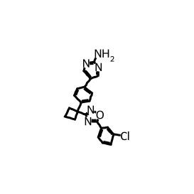 Nc1ncc(-c2ccc(C3(c4noc(-c5cccc(Cl)c5)n4)CCC3)cc2)cn1